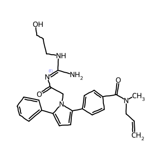 C=CCN(C)C(=O)c1ccc(-c2ccc(-c3ccccc3)n2CC(=O)/N=C(\N)NCCCO)cc1